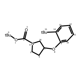 CC(C)(C)OC(=O)N1CCC(Oc2ccccc2C(C)(C)C)C1